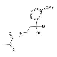 CCC(O)(CCNCC(=O)C(C)Cl)c1cccc(OC)c1